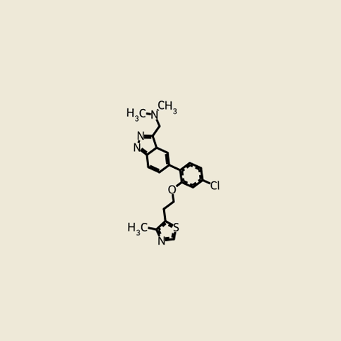 Cc1ncsc1CCOc1cc(Cl)ccc1C1=CC2C(=NN=C2CN(C)C)C=C1